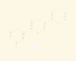 N#Cc1c(F)cccc1-c1ccc(C2=CCCCC2)cc1